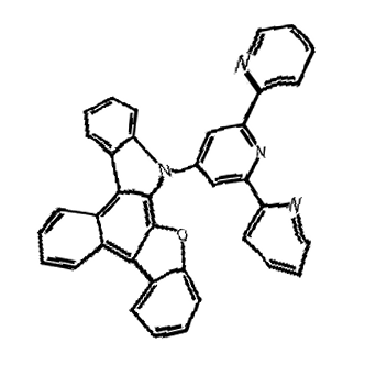 c1ccc(-c2cc(-n3c4ccccc4c4c5ccccc5c5c6ccccc6oc5c43)cc(-c3ccccn3)n2)nc1